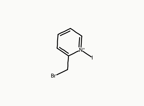 BrCc1cccc[n+]1I